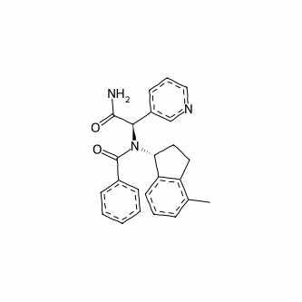 Cc1cccc2c1CC[C@H]2N(C(=O)c1ccccc1)[C@@H](C(N)=O)c1cccnc1